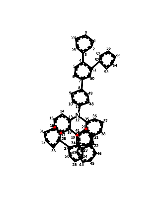 c1ccc(-c2ccc(-c3ccc(N(c4ccccc4-c4cccc5cccc(-c6ccccc6)c45)c4cccc5c4sc4ccccc45)cc3)cc2-c2ccccc2)cc1